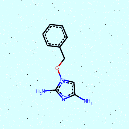 Nc1cn(OCc2ccccc2)c(N)n1